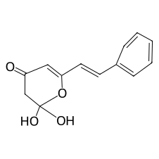 O=C1C=C(/C=C/c2ccccc2)OC(O)(O)C1